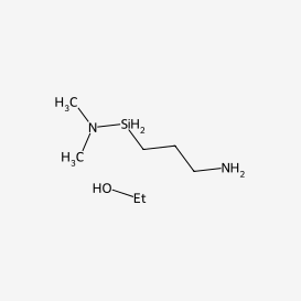 CCO.CN(C)[SiH2]CCCN